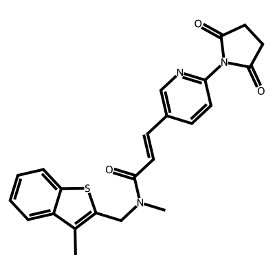 Cc1c(CN(C)C(=O)C=Cc2ccc(N3C(=O)CCC3=O)nc2)sc2ccccc12